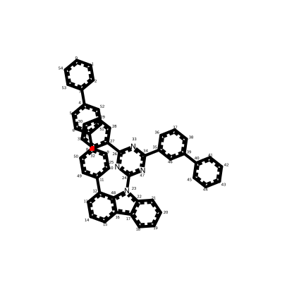 c1ccc(-c2ccc(-c3ccc(-c4cccc5c6ccccc6n(-c6nc(-c7ccccc7)nc(-c7cccc(-c8ccccc8)c7)n6)c45)cc3)cc2)cc1